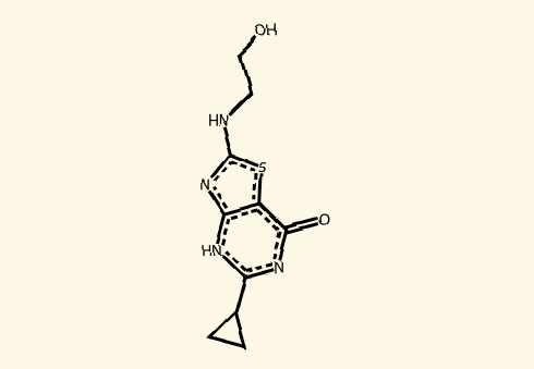 O=c1nc(C2CC2)[nH]c2nc(NCCO)sc12